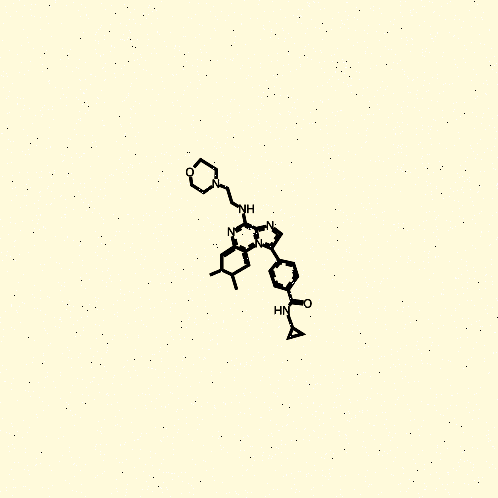 CC1C=c2nc(NCCN3CCOCC3)c3ncc(-c4ccc(C(=O)NC5CC5)cc4)n3c2=CC1C